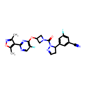 Cc1noc(C)c1-c1ncc(F)c(OC2CN(C(=O)N3N=CCC3c3cc(F)cc(C#N)c3)C2)n1